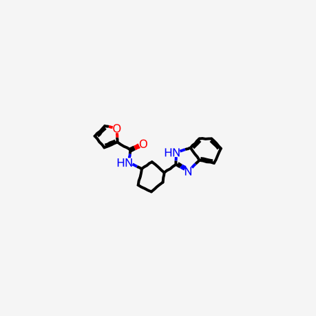 O=C(NC1CCCC(c2nc3ccccc3[nH]2)C1)c1ccco1